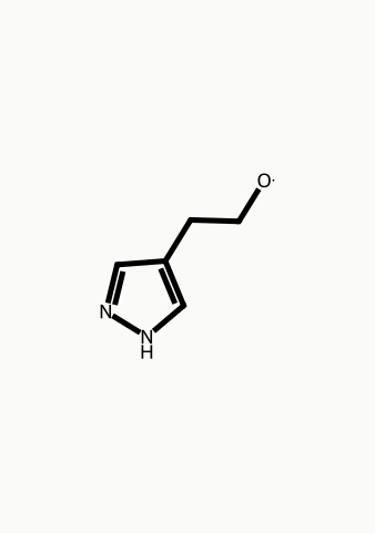 [O]CCc1cn[nH]c1